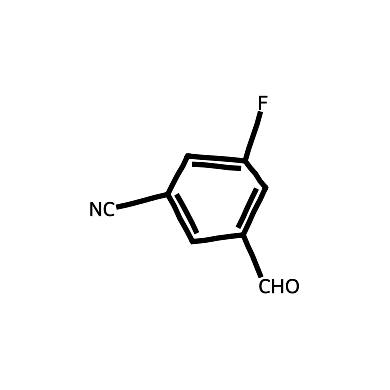 N#Cc1cc(F)cc(C=O)c1